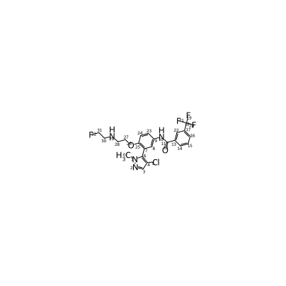 Cn1ncc(Cl)c1-c1cc(NC(=O)c2cccc(C(F)(F)F)c2)ccc1OCCNCCF